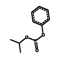 CC(C)O[PH](=O)Oc1ccccc1